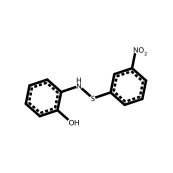 O=[N+]([O-])c1cccc(SNc2ccccc2O)c1